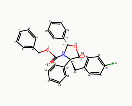 O=C(OCc1ccccc1)N1[C@H](c2ccccc2)OC(=O)[C@]1(Cc1ccc(F)cc1)c1ccccc1